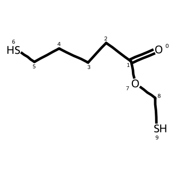 O=C(CCCCS)OCS